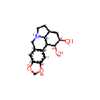 O[C@@H]1CC2CCN3Cc4cc5c(cc4C(C23)[C@@H]1O)OCO5